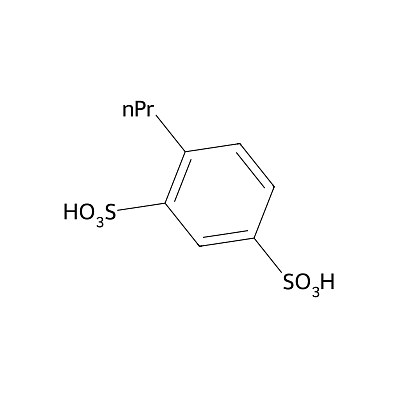 CCCc1ccc(S(=O)(=O)O)cc1S(=O)(=O)O